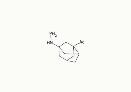 CC(=O)C12CC3CC1CC(NP)(C3)C2